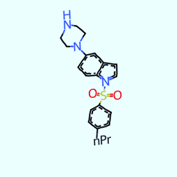 CCCc1ccc(S(=O)(=O)n2ccc3cc(N4CCNCC4)ccc32)cc1